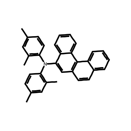 Cc1ccc(N(c2ccc(C)cc2C)c2cc3ccc4ccccc4c3c3ccccc23)c(C)c1